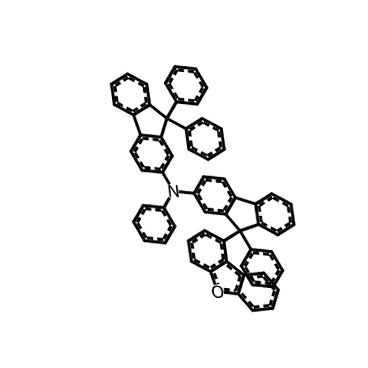 c1ccc(N(c2ccc3c(c2)C(c2ccccc2)(c2ccccc2)c2ccccc2-3)c2ccc3c(c2)C(c2ccccc2)(c2cccc4oc5ccccc5c24)c2ccccc2-3)cc1